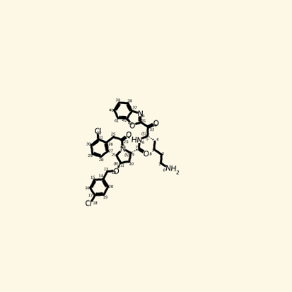 NCCCC[C@H](NC(=O)[C@@H]1C[C@@H](OCc2ccc(Cl)cc2)CN1C(=O)Cc1ccccc1Cl)C(=O)c1nc2ccccc2o1